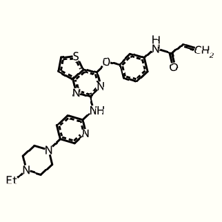 C=CC(=O)Nc1cccc(Oc2nc(Nc3ccc(N4CCN(CC)CC4)cn3)nc3ccsc23)c1